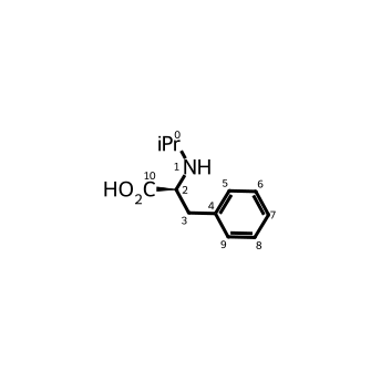 CC(C)N[C@@H](Cc1ccccc1)C(=O)O